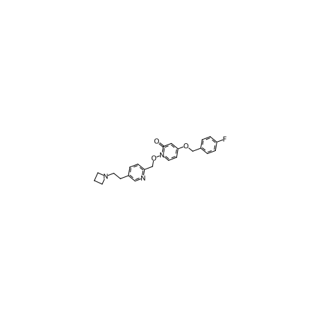 O=c1cc(OCc2ccc(F)cc2)ccn1OCc1ccc(CCN2CCC2)cn1